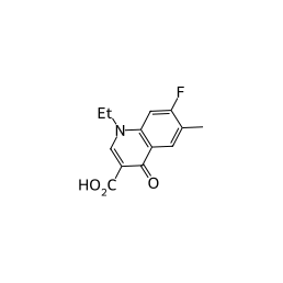 CCn1cc(C(=O)O)c(=O)c2cc(C)c(F)cc21